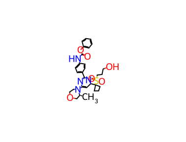 C[C@H]1COCCN1c1cc(C2(S(=O)(=O)CCCO)CCC2)nc(-c2ccc(NC(=O)Oc3ccccc3)cc2)n1